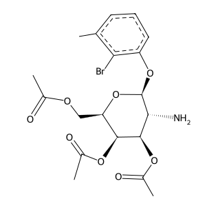 CC(=O)OC[C@H]1O[C@@H](Oc2cccc(C)c2Br)[C@H](N)[C@@H](OC(C)=O)[C@H]1OC(C)=O